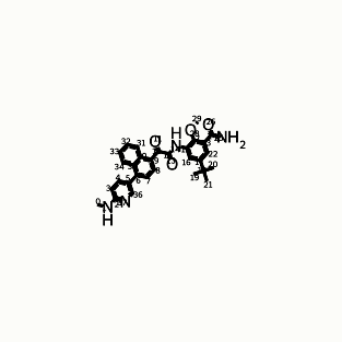 CNc1ccc(-c2ccc(C(=O)C(=O)Nc3cc(C(C)(C)C)cc(C(N)=O)c3OC)c3ccccc23)cn1